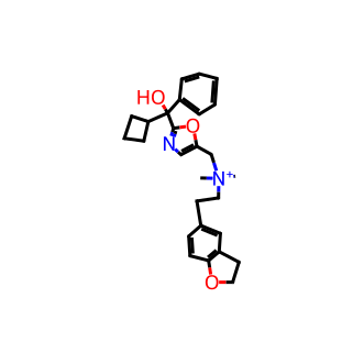 C[N+](C)(CCc1ccc2c(c1)CCO2)Cc1cnc(C(O)(c2ccccc2)C2CCC2)o1